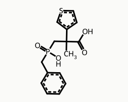 CC(CP(=O)(O)Cc1ccccc1)(C(=O)O)c1ccsc1